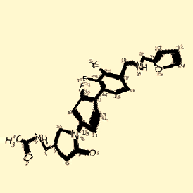 CC(=O)NC[C@@H]1CC(=O)N(c2ccc(-c3ccc(CNCc4ccco4)c(F)c3F)c(F)c2)C1